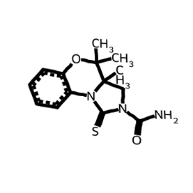 CC1(C)Oc2ccccc2N2C(=S)N(C(N)=O)CC21C